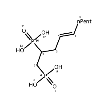 CCCCCC=CCC(CP(=O)(O)O)P(=O)(O)O